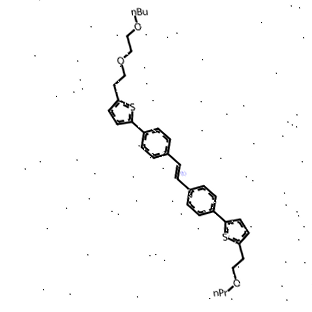 CCCCOCCOCCc1ccc(-c2ccc(/C=C/c3ccc(-c4ccc(CCOCCC)s4)cc3)cc2)s1